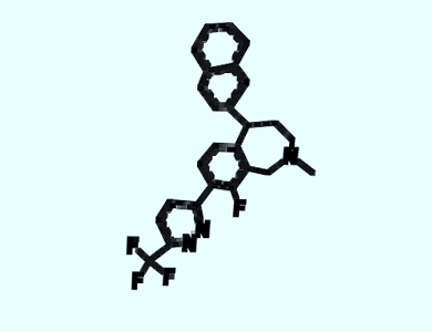 CN1CCC(c2ccc3ccccc3c2)c2ccc(-c3ccc(C(F)(F)F)nn3)c(F)c2C1